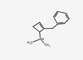 C[SiH](C)C1CC=C1Cc1ccccc1